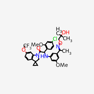 COc1cc(NC(C(=O)N2CC3(CC3)c3ccc(OC(F)(F)F)cc32)c2ccc(Cl)cc2OC)cc(C(C)=NOCC(C)(C)O)c1